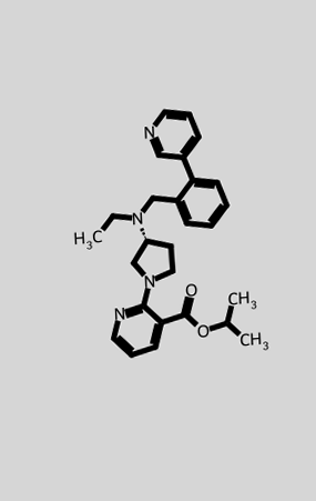 CCN(Cc1ccccc1-c1cccnc1)[C@@H]1CCN(c2ncccc2C(=O)OC(C)C)C1